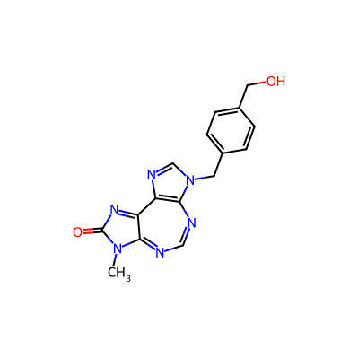 Cn1c2ncnc3c(ncn3Cc3ccc(CO)cc3)c-2nc1=O